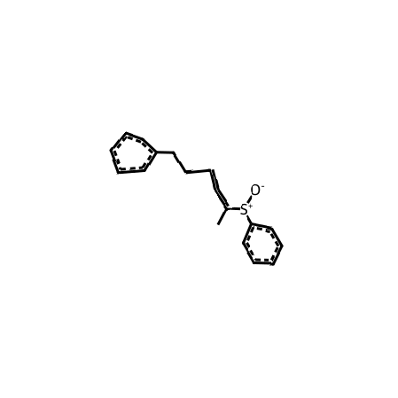 CC(=C=CCCc1ccccc1)[S+]([O-])c1ccccc1